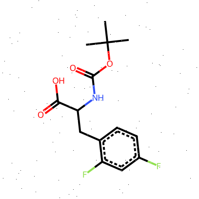 CC(C)(C)OC(=O)NC(Cc1ccc(F)cc1F)C(=O)O